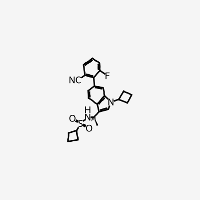 C[C@@H](NS(=O)(=O)C1CCC1)c1cn(C2CCC2)c2cc(-c3c(F)cccc3C#N)ccc12